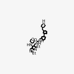 CCc1nc2c(cnn2CC)c(NC2CCOCC2)c1CNC(=O)NCc1cccc(-c2cccc(CC3CCNCC3)c2)c1